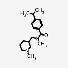 CC(C)c1ccc(C(=O)N(C)CC2CCCN(C)C2)cc1